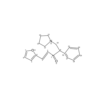 O=C(C=Cc1ccco1)C(CN1CCCC1)c1ccccc1